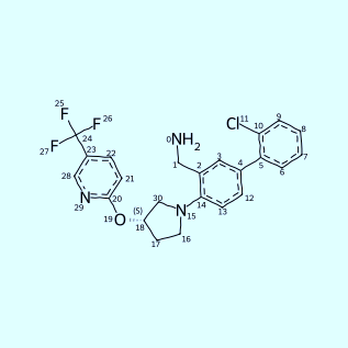 NCc1cc(-c2ccccc2Cl)ccc1N1CC[C@H](Oc2ccc(C(F)(F)F)cn2)C1